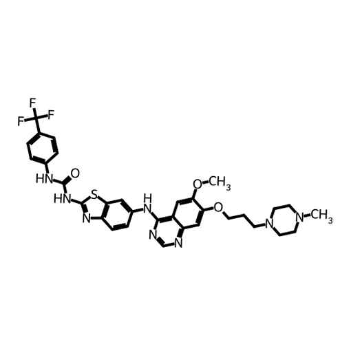 COc1cc2c(Nc3ccc4nc(NC(=O)Nc5ccc(C(F)(F)F)cc5)sc4c3)ncnc2cc1OCCCN1CCN(C)CC1